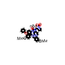 CCCCOC(=O)N1CCCC1Cn1c(=O)n(-c2ccc(Oc3ccccc3)cc2)c2c(N(Cc3ccc(OC)cc3)Cc3ccc(OC)cc3)nccc21